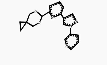 c1cncc(-n2cc(-c3cccc(C4OCC5(CC5)CO4)n3)cn2)c1